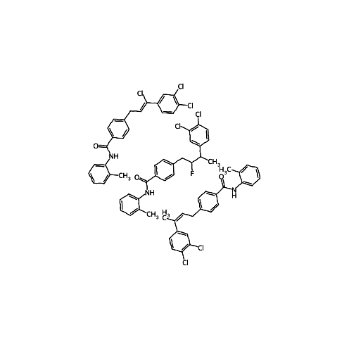 CC(=CCc1ccc(C(=O)Nc2ccccc2C)cc1)c1ccc(Cl)c(Cl)c1.Cc1ccccc1NC(=O)c1ccc(CC(F)C(C)c2ccc(Cl)c(Cl)c2)cc1.Cc1ccccc1NC(=O)c1ccc(CC=C(Cl)c2ccc(Cl)c(Cl)c2)cc1